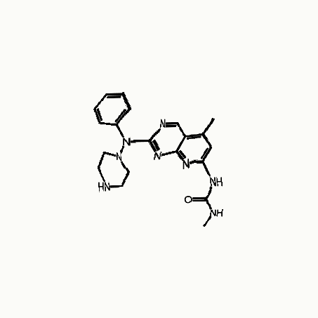 CNC(=O)Nc1cc(C)c2cnc(N(c3ccccc3)N3CCNCC3)nc2n1